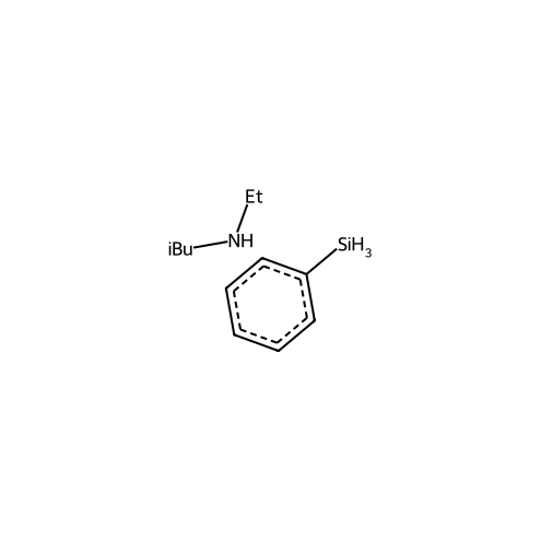 CCNC(C)CC.[SiH3]c1ccccc1